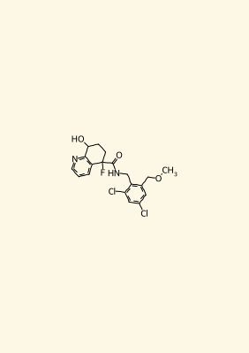 COCc1cc(Cl)cc(Cl)c1CNC(=O)C1(F)CCC(O)c2ncccc21